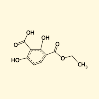 CCOC(=O)c1ccc(O)c(C(=O)O)c1O